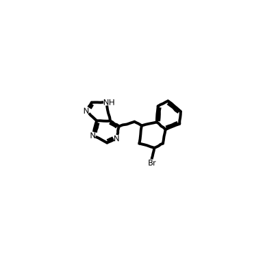 BrC1Cc2ccccc2C(Cc2ncnc3nc[nH]c23)C1